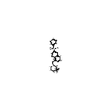 O=S(=O)(c1ccccc1)c1cnc2c(CN3CCCC(F)(F)C3)cccc2c1